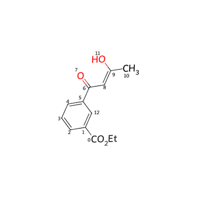 CCOC(=O)c1cccc(C(=O)/C=C(/C)O)c1